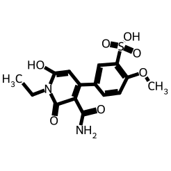 CCn1c(O)cc(-c2ccc(OC)c(S(=O)(=O)O)c2)c(C(N)=O)c1=O